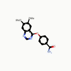 COc1cc2ncnc(Oc3ccc(C(N)=O)cc3)c2cc1OC